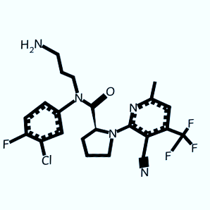 Cc1cc(C(F)(F)F)c(C#N)c(N2CCC[C@H]2C(=O)N(CCCN)c2ccc(F)c(Cl)c2)n1